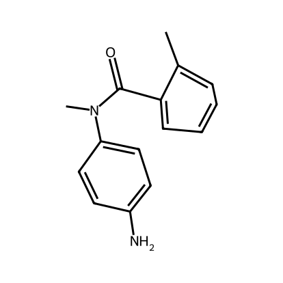 Cc1ccccc1C(=O)N(C)c1ccc(N)cc1